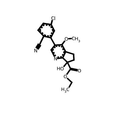 CCOC(=O)C1(O)CCc2c1ncc(-c1cc(Cl)ccc1C#N)c2OC